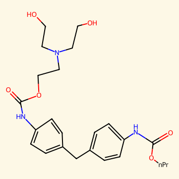 CCCOC(=O)Nc1ccc(Cc2ccc(NC(=O)OCCN(CCO)CCO)cc2)cc1